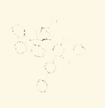 C=C1C(C2CC(C)C=CC2c2ccccc2C2(c3ccccc3)c3ccccc3OC3C=CC=CC32)=CC(c2ccc(-c3ccccc3)cc2)N(C)[C@H]1C1=CC=CCC1